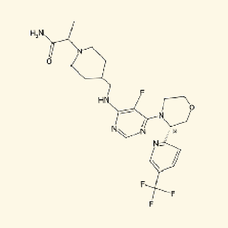 CC(C(N)=O)N1CCC(CNc2ncnc(N3CCOC[C@@H]3c3ccc(C(F)(F)F)cn3)c2F)CC1